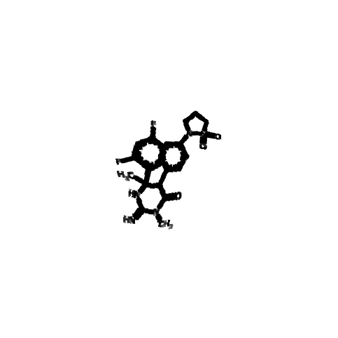 CN1C(=N)NC(C)(c2ccc(F)cc2F)C(c2ccc(N3CCCS3(=O)=O)cc2)C1=O